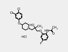 CC(=O)Nc1ccc(F)cc1OCC(C)(O)CN1CCC(Oc2ccc(Cl)c(Cl)c2)CC1.Cl